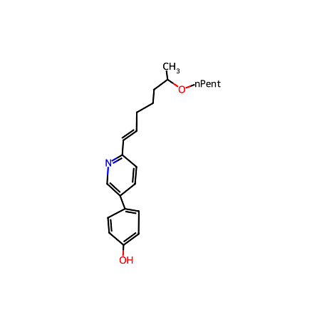 CCCCCOC(C)CCC/C=C/c1ccc(-c2ccc(O)cc2)cn1